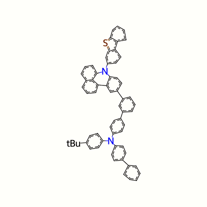 CC(C)(C)c1ccc(N(c2ccc(-c3ccccc3)cc2)c2ccc(-c3cccc(-c4ccc5c(c4)-c4cccc6cccc(c46)N5c4ccc5c(c4)sc4ccccc45)c3)cc2)cc1